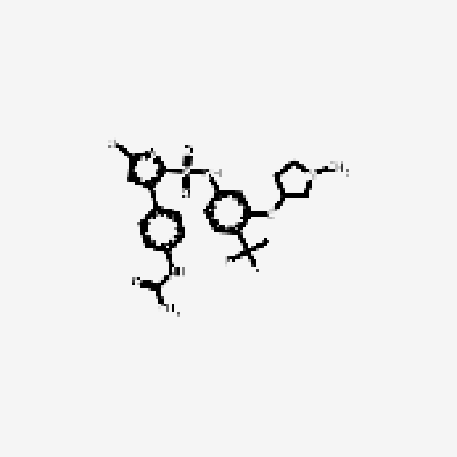 CC(=O)Nc1ccc(-c2cc(Cl)sc2S(=O)(=O)Nc2ccc(C(F)(F)F)c(OC3CCN(C)C3)c2)cc1